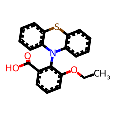 CCOc1cccc(C(=O)O)c1N1c2ccccc2Sc2ccccc21